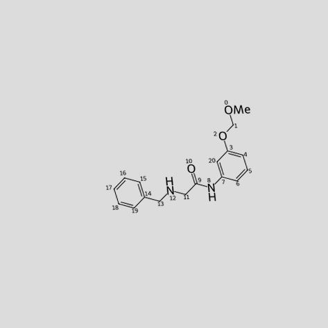 COCOc1cccc(NC(=O)CNCc2ccccc2)c1